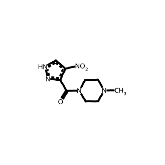 CN1CCN(C(=O)c2n[nH]cc2[N+](=O)[O-])CC1